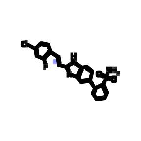 NS(=O)(=O)c1ccccc1-c1ccc2[nH]c(/C=C/c3ccc(Cl)cc3F)nc2c1